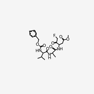 COC(=O)CC(NC(=O)C(C)NC(=O)C(NC(=O)OCc1ccccc1)C(C)C)C(=O)CF